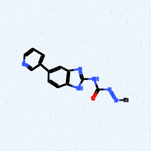 CCN=NC(=O)Nc1nc2cc(-c3cccnc3)ccc2[nH]1